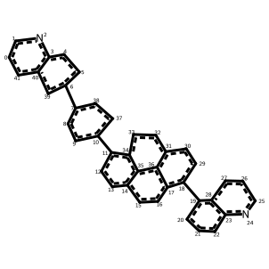 c1cnc2ccc(-c3ccc(-c4ccc5ccc6c(-c7cccc8ncccc78)ccc7ccc4c5c76)cc3)cc2c1